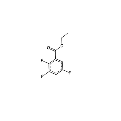 CCOC(=O)c1cc(F)cc(F)c1F